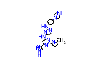 Cc1cccc(-c2nc(Nc3ccnc(Nc4ccc(N5CCNCC5)cc4)n3)cc(-c3c[nH]nn3)n2)n1